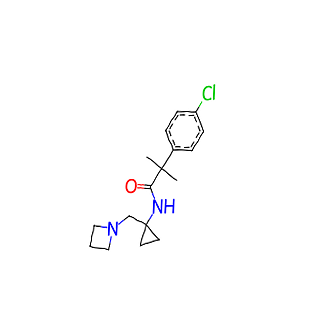 CC(C)(C(=O)NC1(CN2CCC2)CC1)c1ccc(Cl)cc1